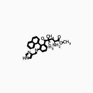 COC(=O)[C@@H](N)CC(C)(C)C(=O)c1cccc(N=Cc2c[nH]cn2)c1-c1cccc2ccccc12